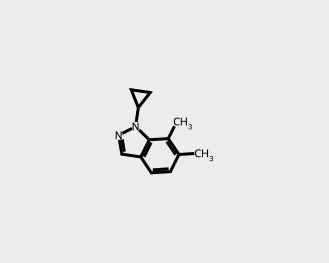 Cc1ccc2cnn(C3CC3)c2c1C